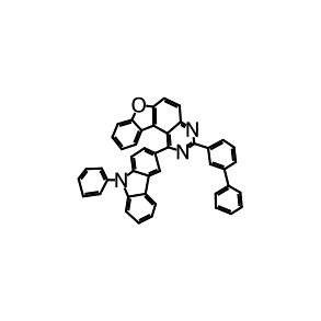 c1ccc(-c2cccc(-c3nc(-c4ccc5c(c4)c4ccccc4n5-c4ccccc4)c4c(ccc5oc6ccccc6c54)n3)c2)cc1